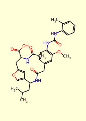 COc1cc(CC(=O)NC(CC(C)C)c2coc(CC(NC(C)=O)C(=O)O)c2)ccc1NC(=O)Nc1ccccc1C